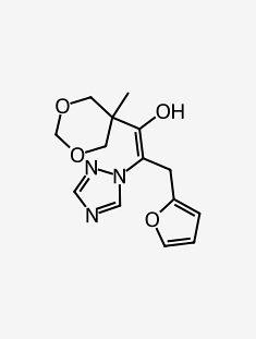 CC1(C(O)=C(Cc2ccco2)n2cncn2)COCOC1